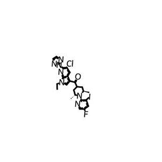 CCn1cc(C(=O)C2C[C@@H](C)N(c3ncc(F)cc3I)[C@H](C)C2)c2cc(Cl)c(-n3nccn3)nc21